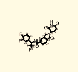 O=C1CCC(N2Cc3cc(C(=O)NC(c4ccc(F)c(F)c4)C(F)(F)F)ccc3C2=O)C(=O)N1